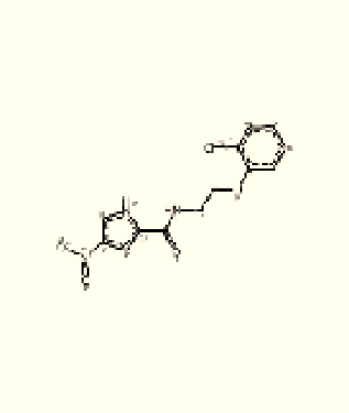 O=C(NCCOc1ccccc1Cl)c1cc([N+](=O)[O-])c[nH]1